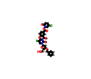 O=C(On1cc(Cl)ccc1=O)c1cccc(C(=O)n2c(=O)c(F)cn([C@@H]3CC(OCc4ccccc4)[C@H](CO)O3)c2=O)c1